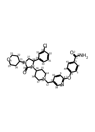 NC(=O)c1ccc(Oc2ccc(CN3CCC(N4C(=O)N(C5CCOCC5)CC4c4cccc(Cl)c4)CC3)cn2)cc1